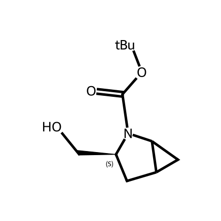 CC(C)(C)OC(=O)N1C2CC2C[C@H]1CO